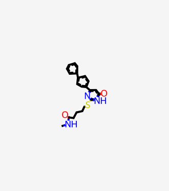 CNC(=O)CCCCSc1nc(-c2ccc(-c3ccccc3)cc2)cc(=O)[nH]1